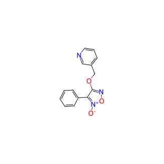 [O-][n+]1onc(OCc2cccnc2)c1-c1ccccc1